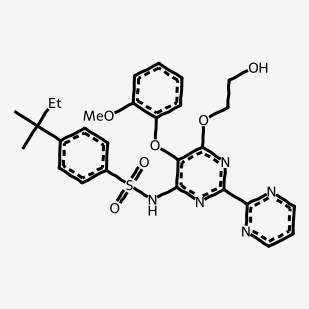 CCC(C)(C)c1ccc(S(=O)(=O)Nc2nc(-c3ncccn3)nc(OCCO)c2Oc2ccccc2OC)cc1